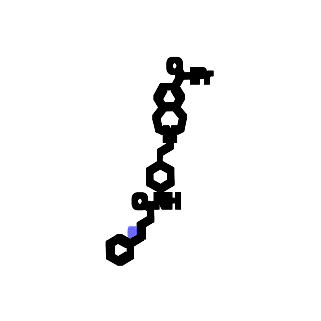 CC(C)C(=O)c1ccc2c(c1)CCN(CC[C@H]1CC[C@H](NC(=O)C/C=C/c3ccccc3)CC1)CC2